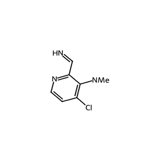 CNc1c(Cl)ccnc1C=N